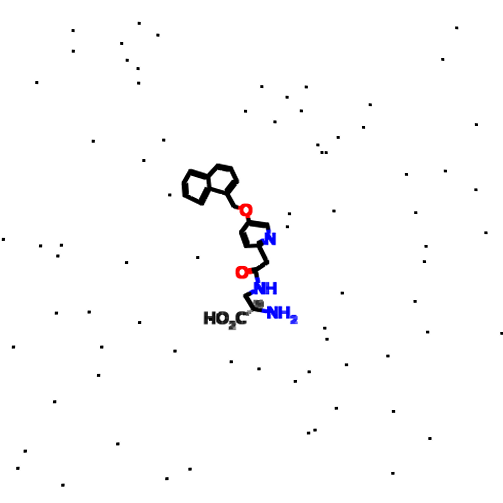 N[C@@H](CNC(=O)Cc1ccc(OCc2cccc3ccccc23)cn1)C(=O)O